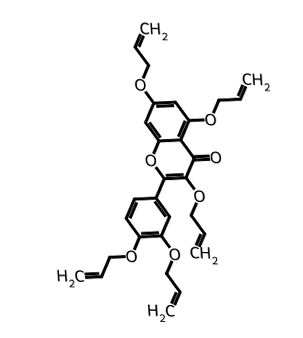 C=CCOc1cc(OCC=C)c2c(=O)c(OCC=C)c(-c3ccc(OCC=C)c(OCC=C)c3)oc2c1